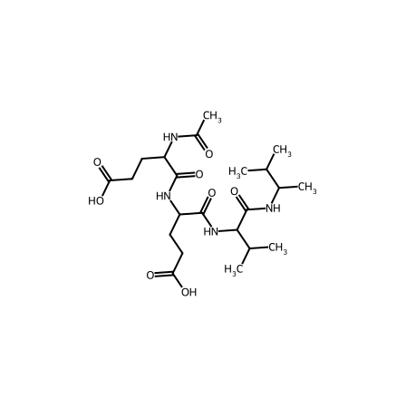 CC(=O)NC(CCC(=O)O)C(=O)NC(CCC(=O)O)C(=O)NC(C(=O)NC(C)C(C)C)C(C)C